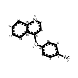 CC(=O)c1ccc(Oc2ccnc3ccccc23)cc1